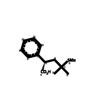 CSC(C)(C)C[C@H](C(=O)O)c1ccccc1